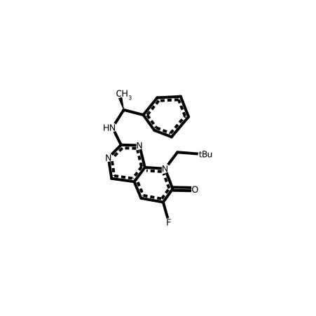 C[C@H](Nc1ncc2cc(F)c(=O)n(CC(C)(C)C)c2n1)c1ccccc1